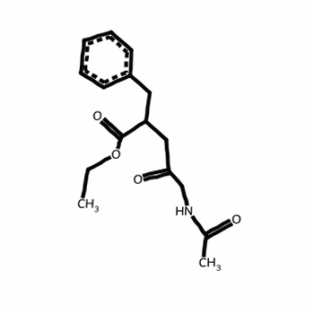 CCOC(=O)C(CC(=O)CNC(C)=O)Cc1ccccc1